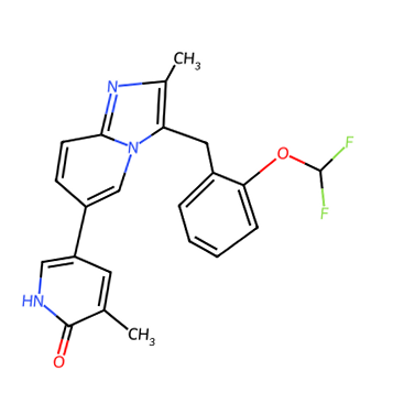 Cc1nc2ccc(-c3c[nH]c(=O)c(C)c3)cn2c1Cc1ccccc1OC(F)F